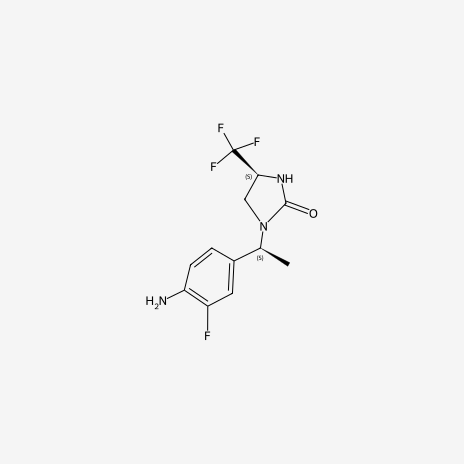 C[C@@H](c1ccc(N)c(F)c1)N1C[C@@H](C(F)(F)F)NC1=O